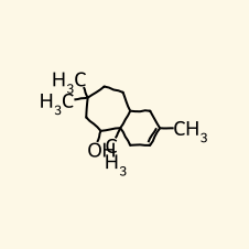 CC1=CCC2(C)C(O)CC(C)(C)CCC2C1